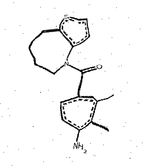 Cc1c(N)ccc(C(=O)N2CCCCc3sccc32)c1C